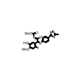 COC(=O)/N=C(\SC)C(=Nc1ccc(-c2noc(C)n2)cc1)c1cc(O)c(OC)cc1F